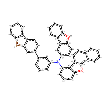 c1cc(-c2ccc3c(c2)sc2ccccc23)cc(N(c2ccc3oc4ccccc4c3c2)c2cccc3oc4c5ccccc5ccc4c23)c1